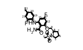 CS(=O)(=O)N1CCC[C@@H]1COc1cc(F)cc(Nc2ccc(I)cc2F)c1C(N)=O